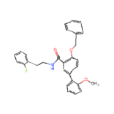 COc1ccccc1-c1ccc(OCc2ccccc2)c(C(=O)NCCc2ccccc2F)c1